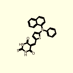 O=C1NC(=S)NC(=O)C1=Cc1ccc(N(c2ccccc2)c2cccc3ccccc23)s1